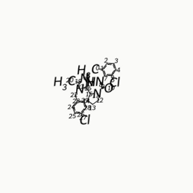 Cc1cccc(Cl)c1NC(=O)N1CCCC1c1nnc(C)n1Cc1ccc(Cl)cc1